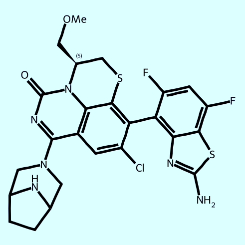 COC[C@H]1CSc2c(-c3c(F)cc(F)c4sc(N)nc34)c(Cl)cc3c(N4CC5CCC(C4)N5)nc(=O)n1c23